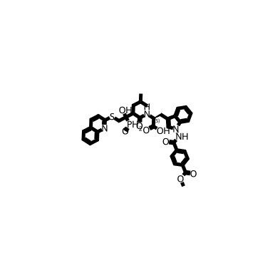 COC(=O)c1ccc(C(=O)Nn2cc(C[C@H](NC(=O)C(CC(C)C)C(O)(CSc3ccc4ccccc4n3)[PH2]=O)C(=O)O)c3ccccc32)cc1